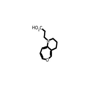 O=C(O)CCN1CCCC2=COC=CC=C21